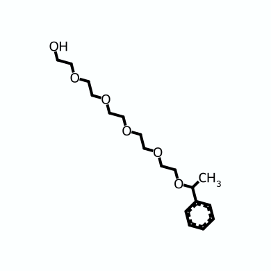 CC(OCCOCCOCCOCCOCCO)c1ccccc1